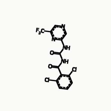 O=C(NC(=O)c1c(Cl)cccc1Cl)Nc1cncc(C(F)(F)F)n1